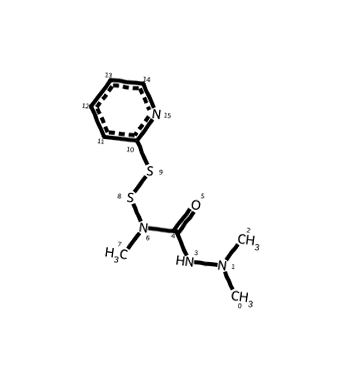 CN(C)NC(=O)N(C)SSc1ccccn1